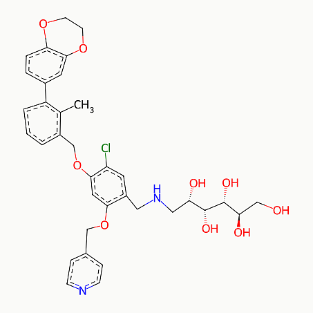 Cc1c(COc2cc(OCc3ccncc3)c(CNC[C@H](O)[C@@H](O)[C@H](O)[C@H](O)CO)cc2Cl)cccc1-c1ccc2c(c1)OCCO2